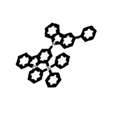 c1ccc(-c2ccc3c(c2)c2ccccc2n3-c2cc([Si](c3ccccc3)(c3ccccc3)c3ccccc3)c3oc4ccccc4c3c2)cc1